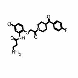 NCCC(=O)Nc1cc(Cl)ccc1OCC(=O)N1CCC(C(=O)c2ccc(F)cc2)CC1